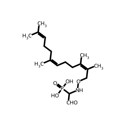 CC(C)=CCCC(C)=CCCC(C)=C(C)CONC(C=O)P(=O)(O)O